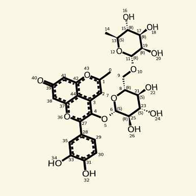 Cc1cc2c(O[C@@H]3O[C@H](CO[C@@H]4O[C@@H](C)[C@H](O)[C@@H](O)[C@H]4O)[C@@H](O)[C@H](O)[C@H]3O)c(-c3ccc(O)c(O)c3)oc3cc(=O)cc(o1)c32